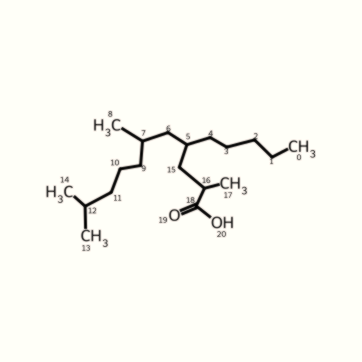 CCCCCC(CC(C)CCCC(C)C)CC(C)C(=O)O